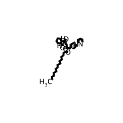 CCCCCCCCCCCCCCCC(=O)OC(CN1CCN(c2ccccn2)CC1)CN1C(=O)[C@H]2CCCC[C@H]2C1=O